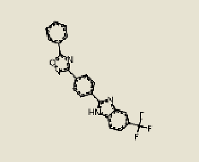 FC(F)(F)c1ccc2[nH]c(-c3ccc(-c4noc(-c5ccccc5)n4)cc3)nc2c1